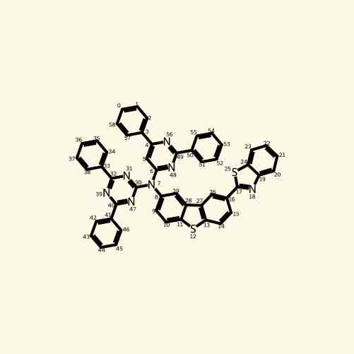 c1ccc(-c2cc(N(c3ccc4sc5ccc(-c6nc7ccccc7s6)cc5c4c3)c3nc(-c4ccccc4)nc(-c4ccccc4)n3)nc(-c3ccccc3)n2)cc1